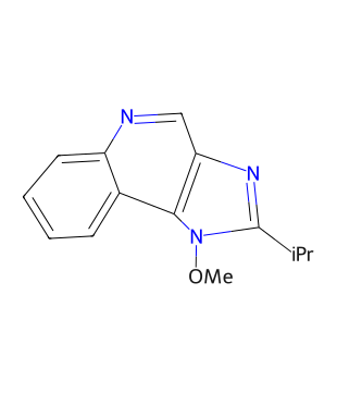 COn1c(C(C)C)nc2cnc3ccccc3c21